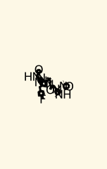 C[C@@H]1CN(CC(=O)N2CC(C)(C)c3c2cc(Cc2ccc(F)cc2)c2nc(NC4COC4)nn32)[C@@H](CN2CCOC[C@H]2C)CN1